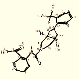 O=C(O)c1cnccc1NC(=O)N1C[C@H]2CC(c3ccccc3C(F)(F)F)C[C@H]2C1